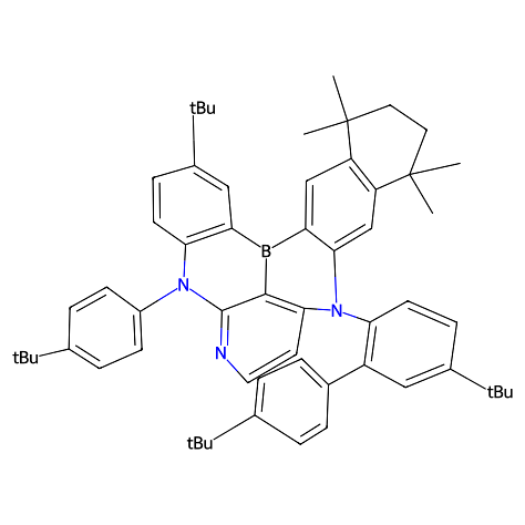 CC(C)(C)c1ccc(-c2cc(C(C)(C)C)ccc2N2c3cc4c(cc3B3c5cc(C(C)(C)C)ccc5N(c5ccc(C(C)(C)C)cc5)c5nccc2c53)C(C)(C)CCC4(C)C)cc1